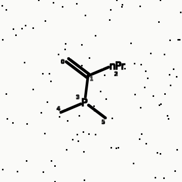 C=C(CCC)P(C)C